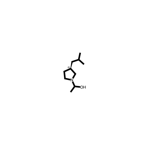 CC(C)C[C@@H]1CCN(C(C)O)C1